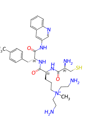 C[N+](CCN)(CCN)CCC[C@H](NC(=O)[C@@H](N)CS)C(=O)N[C@H](Cc1ccc(C(F)(F)F)cc1)C(=O)Nc1cnc2ccccc2c1